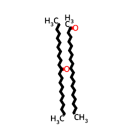 CCCCCCCCCCCC(=O)CCCCCCCCCCC.CCCCCCCCCCCCCCCCCCCCC(C)=O